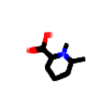 CC1CCCC(C(=O)O)N1C